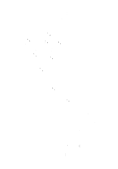 CN(CCN1CCN(c2cc(OC[C@H](O)CO)c(F)cc2F)CC1)c1nc(N)n2nc(-c3ccco3)nc2n1